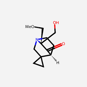 COC[C@@]1(CO)C(=O)[C@H]2CCN1CC21CC1